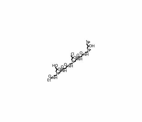 CCC(=O)NCCN(CCNC(=O)CC(=O)NCCN(CCNC(=O)CC(=O)NCCN(C)CC(O)CN(C)C)CC(O)CCl)CC(O)CO